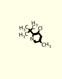 Cc1cnc(C(C)(C)C)c(Cl)c1